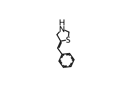 C(=C1CNCS1)c1ccccc1